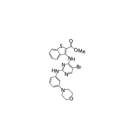 COC(=O)c1sc2ccccc2c1Nc1nc(Nc2cccc(N3CCOCC3)c2)ncc1Br